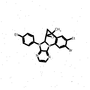 CCc1ccc(N2c3nccnc3N3c4cc(Br)c(CC)cc4C4(C)CC4(C)C23)cc1